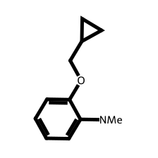 CNc1ccccc1OCC1CC1